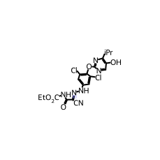 CCOC(=O)NC(=O)/C(C#N)=N/Nc1cc(Cl)c(Oc2ncc(O)c(C(C)C)n2)c(Cl)c1